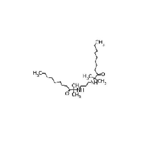 CCCCCCCCC(=O)C(C)(C)NCCCNC(C)(C)C(=O)CCCCCCCC